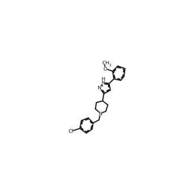 COc1ccccc1-c1cc(C2CCN(Cc3ccc(Cl)cc3)CC2)n[nH]1